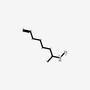 C=CCCCCC(C)NCC